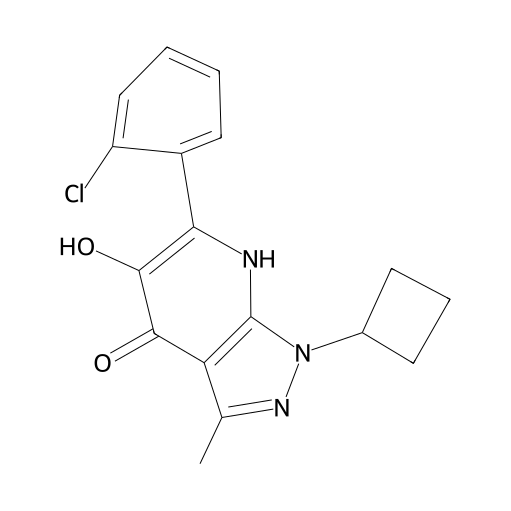 Cc1nn(C2CCC2)c2[nH]c(-c3ccccc3Cl)c(O)c(=O)c12